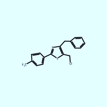 FC(F)(F)c1ccc(-c2nc(Cc3ccccc3)c(CCl)s2)cc1